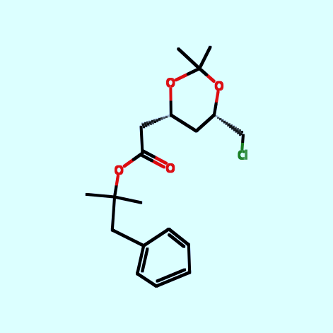 CC(C)(Cc1ccccc1)OC(=O)C[C@H]1C[C@@H](CCl)OC(C)(C)O1